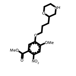 COC(=O)c1cc(OCCCC2CNCCO2)c(OC)cc1[N+](=O)[O-]